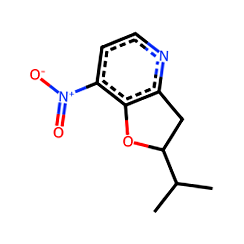 CC(C)C1Cc2nccc([N+](=O)[O-])c2O1